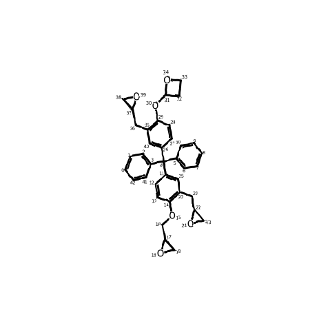 c1ccc(C(c2ccccc2)(c2ccc(OCC3CO3)c(CC3CO3)c2)c2ccc(OC3CCO3)c(CC3CO3)c2)cc1